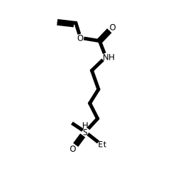 C=COC(=O)NCCCC[SH](C)(=O)CC